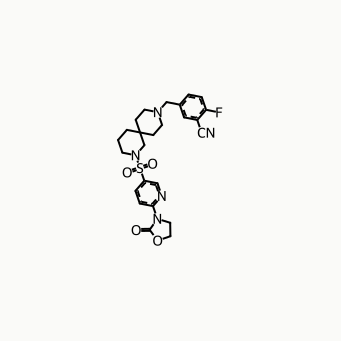 N#Cc1cc(CN2CCC3(CCCN(S(=O)(=O)c4ccc(N5CCOC5=O)nc4)C3)CC2)ccc1F